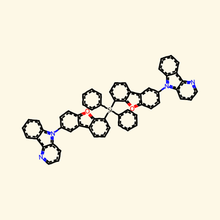 c1ccc([Si](c2ccccc2)(c2cccc3c2oc2ccc(-n4c5ccccc5c5ncccc54)cc23)c2cccc3c2oc2ccc(-n4c5ccccc5c5ncccc54)cc23)cc1